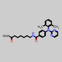 CNC(=O)CCCCCCNC(=O)c1ccc(N(c2ncccn2)c2c(C)cccc2C)cc1